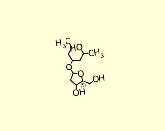 CCCC(CC(C)O)OC1CC(O)[C@H](CO)O1